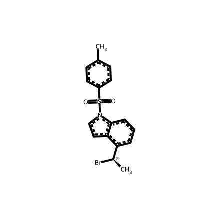 Cc1ccc(S(=O)(=O)n2ccc3c([C@@H](C)Br)cccc32)cc1